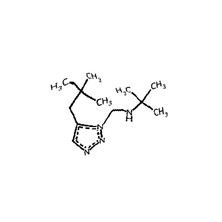 CC(C)(C)Cc1cnnn1CNC(C)(C)C